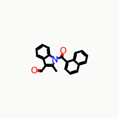 Cc1c(C=O)c2ccccc2n1C(=O)c1cccc2ccccc12